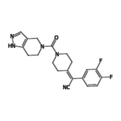 N#CC(=C1CCN(C(=O)N2CCc3[nH]ncc3C2)CC1)c1ccc(F)c(F)c1